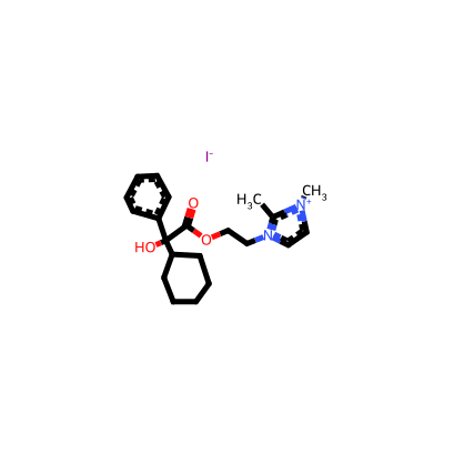 Cc1n(CCOC(=O)C(O)(c2ccccc2)C2CCCCC2)cc[n+]1C.[I-]